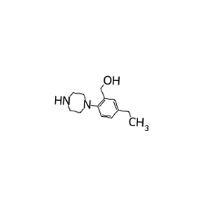 CCc1ccc(N2CCNCC2)c(CO)c1